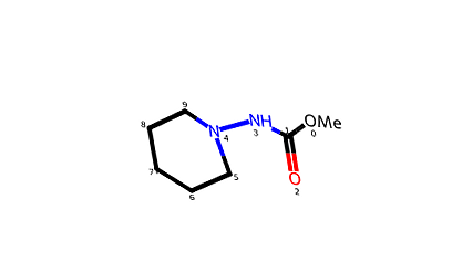 COC(=O)NN1CC[CH]CC1